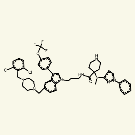 CN(c1ccn(-c2ccccc2)n1)C1(C(=O)NCCCn2cc(-c3ccc(OC(F)(F)F)cc3)c3cc(CN4CCN(Cc5c(Cl)cccc5Cl)CC4)ccc32)CCNCC1